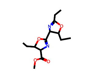 CCC1=NC(C2=NC(C(=O)OC)C(CC)O2)C(CC)O1